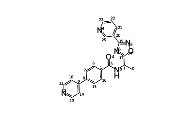 CC(NC(=O)c1ccc(-c2ccncc2)cc1)c1nc(-c2cccnc2)no1